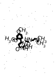 COc1ccc(C2=CC(=O)NC(S)N2CC(=O)NCCN(C)C)c(OC)c1